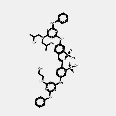 CC(O)CN(CC(C)O)c1nc(Nc2ccccc2)nc(Nc2ccc(/C=C/c3ccc(Nc4nc(NCCO)nc(Nc5ccccc5)n4)cc3S(=O)(=O)O)c(S(=O)(=O)O)c2)n1